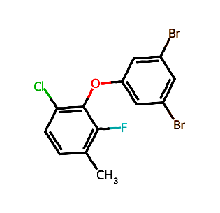 Cc1ccc(Cl)c(Oc2cc(Br)cc(Br)c2)c1F